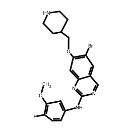 COc1cc(Nc2ncc3cc(Br)c(OCC4CCNCC4)cc3n2)ccc1F